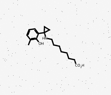 Cc1cccc(C2(NCCCCCCCC(=O)O)CC2)c1O